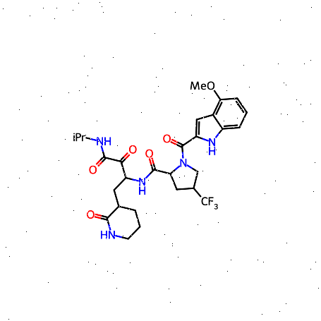 COc1cccc2[nH]c(C(=O)N3CC(C(F)(F)F)CC3C(=O)NC(CC3CCCNC3=O)C(=O)C(=O)NC(C)C)cc12